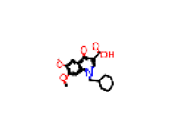 COc1cc2c(=O)c(C(=O)O)cn(CC3CCCCC3)c2cc1OC